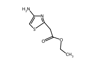 CCOC(=O)Cc1nc(N)cs1